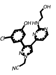 N#CCn1cc(-c2ccnc(NCCO)n2)c(-c2cc(O)cc(Cl)c2)n1